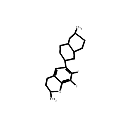 CC1CCC2CC(c3cc4c(c(F)c3F)OC(C)CC4)CCC2C1